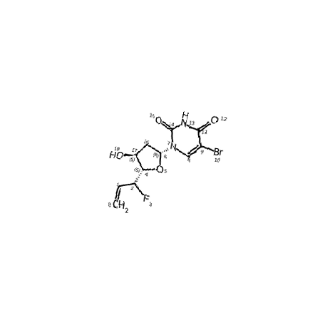 C=CC(F)[C@H]1O[C@@H](n2cc(Br)c(=O)[nH]c2=O)C[C@@H]1O